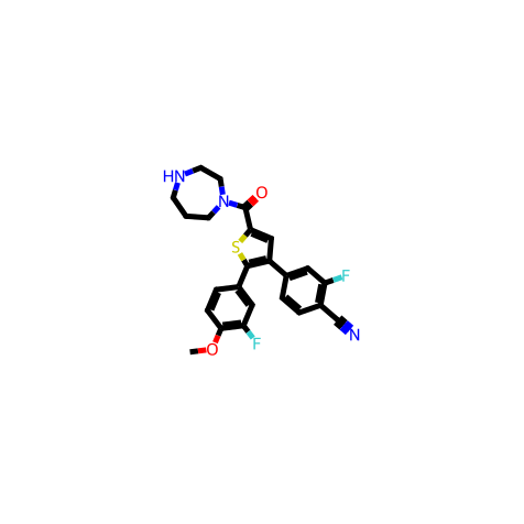 COc1ccc(-c2sc(C(=O)N3CCCNCC3)cc2-c2ccc(C#N)c(F)c2)cc1F